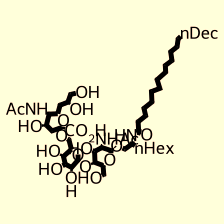 CCCCCCCCCCCCCCCCCCCCCCCC(=O)NC(CCCCCC)CO[C@@H]1OC(CO)[C@@H](O[C@@H]2OC(CO[C@]3(C(=O)O)C[C@@H](O)[C@@H](NC(C)=O)C(C[C@H](O)CO)O3)[C@H](O)C(O)[C@@H]2O)C(O)[C@@H]1NC(C)=O